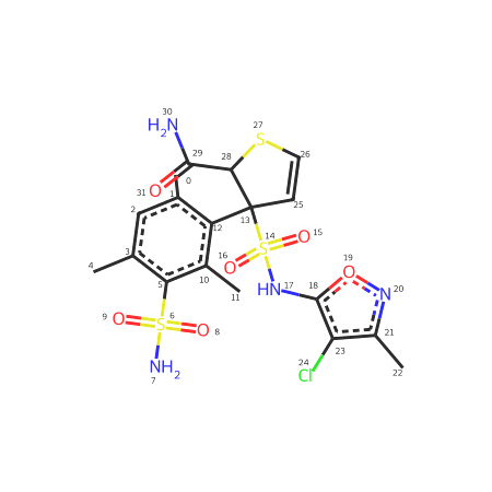 Cc1cc(C)c(S(N)(=O)=O)c(C)c1C1(S(=O)(=O)Nc2onc(C)c2Cl)C=CSC1C(N)=O